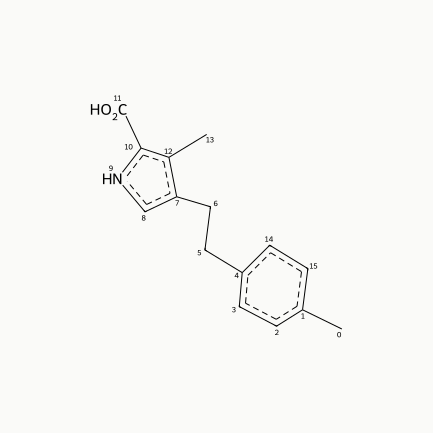 Cc1ccc(CCc2c[nH]c(C(=O)O)c2C)cc1